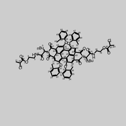 CCCCC(C(=O)NCCOC(=O)C(C)Cl)N1C(=O)c2cc(Oc3ccccc3C)c3c4c(Oc5ccccc5C)cc5c6c(cc(Oc7ccccc7C)c(c7c(Oc8ccccc8C)cc(c2c37)C1=O)c64)C(=O)N(C(CCCC)C(=O)NCCOC(=O)C(C)Cl)C5=O